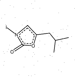 CC(C)Cc1cn(I)c(=O)o1